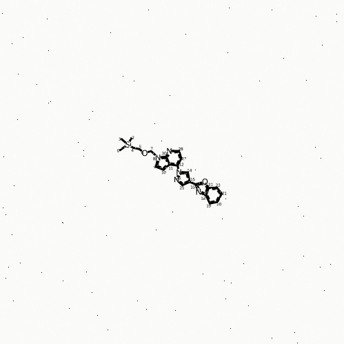 C[Si](C)(C)CCOCn1ccc2c(-n3cc(-c4nc5ccccc5o4)cn3)ccnc21